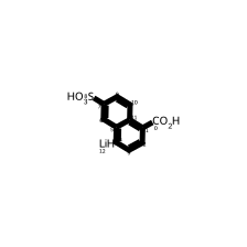 O=C(O)c1cccc2cc(S(=O)(=O)O)ccc12.[LiH]